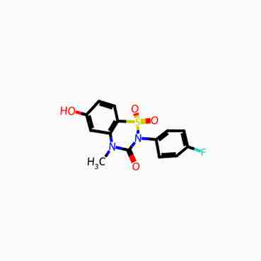 CN1C(=O)N(c2ccc(F)cc2)S(=O)(=O)c2ccc(O)cc21